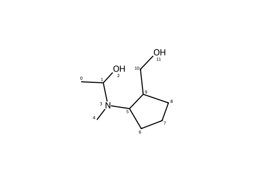 CC(O)N(C)C1CCCC1CO